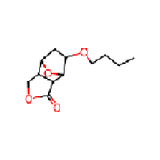 CCCCOC1CC2OC1C1C(=O)OCC21